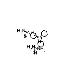 C1CC[CH]([SnH]([CH]2CCCCC2)[CH]2CCCCC2)CC1.N[PH](N)=S.N[PH](N)=S